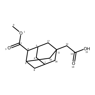 COC(=O)C1C2CC3CC1CC(CC(=O)O)(C3)C2